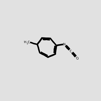 CC1C=CC=C(N=C=O)C=C1